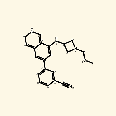 COCN1CC(Nc2cc(-c3cccc(C#N)c3)cc3c2=CNCC=3)C1